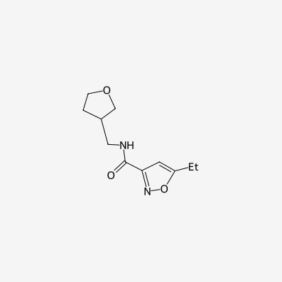 CCc1cc(C(=O)NCC2CCOC2)no1